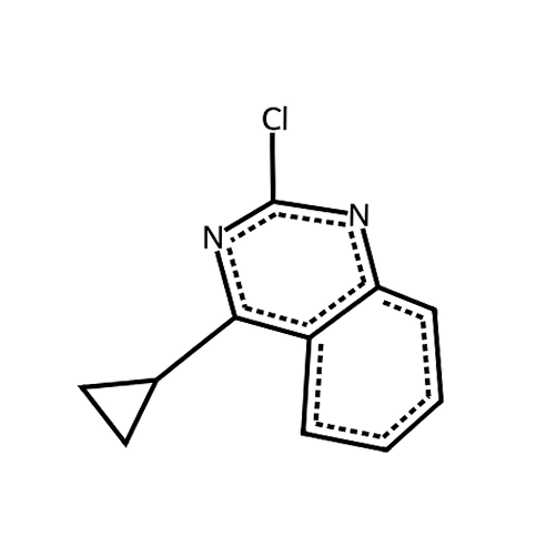 Clc1nc(C2CC2)c2ccccc2n1